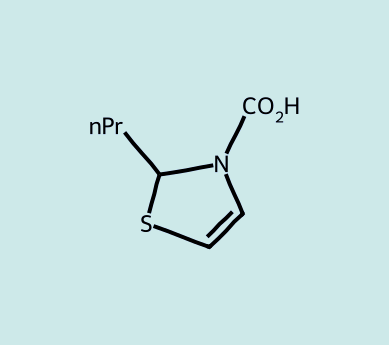 CCCC1SC=CN1C(=O)O